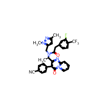 Cc1cc(CN(C(=O)Cc2ccc(C(F)(F)F)c(F)c2)[C@H](C)c2nc3ccccn3c(=O)c2-c2ccc(C#N)cc2)n(C)n1